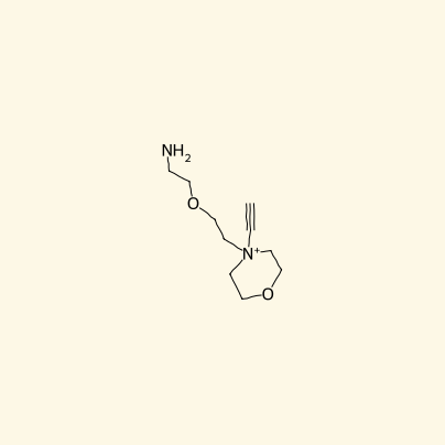 C#C[N+]1(CCOCCN)CCOCC1